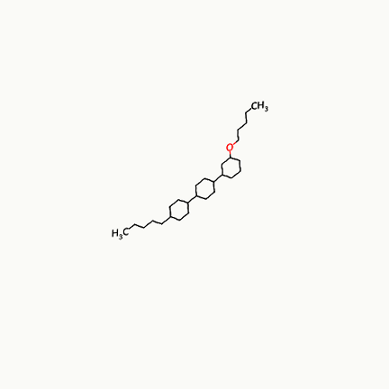 CCCCCOC1CCCC(C2CCC(C3CCC(CCCCC)CC3)CC2)C1